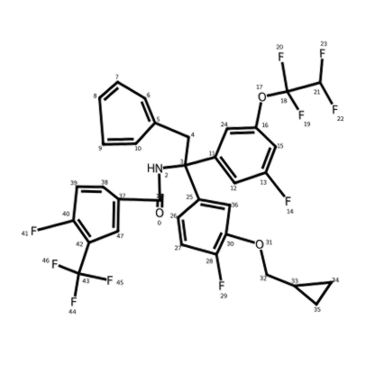 O=C(NC(Cc1ccccc1)(c1cc(F)cc(OC(F)(F)C(F)F)c1)c1ccc(F)c(OCC2CC2)c1)c1ccc(F)c(C(F)(F)F)c1